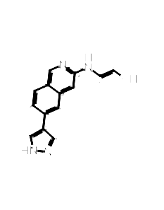 C/C=C/Nc1cc2cc(-c3cn[nH]c3)ccc2cn1